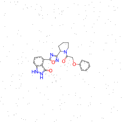 O=C(COc1ccccc1)N1CCCCC1c1noc(-c2cccc3[nH][nH]c(=O)c23)n1